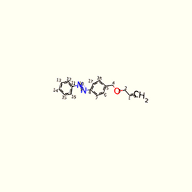 C=CCOCc1ccc(/N=N/c2ccccc2)cc1